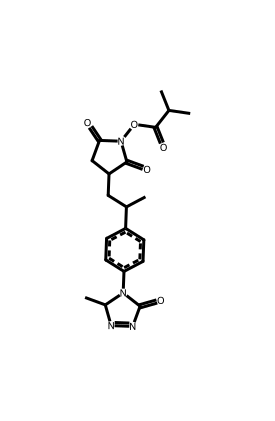 CC(C)C(=O)ON1C(=O)CC(CC(C)c2ccc(N3C(=O)N=NC3C)cc2)C1=O